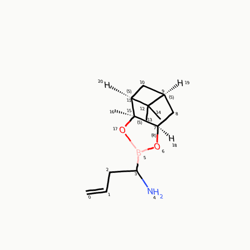 C=CCC(N)B1O[C@@H]2C[C@@H]3C[C@@H](C3(C)C)[C@]2(C)O1